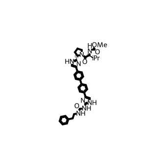 COC(=O)N[C@H](C(=O)N1CCC[C@H]1c1nc(-c2ccc(-c3ccc(-c4c[nH]c(NC(=O)NCCc5ccccc5)n4)cc3)cc2)c[nH]1)C(C)C